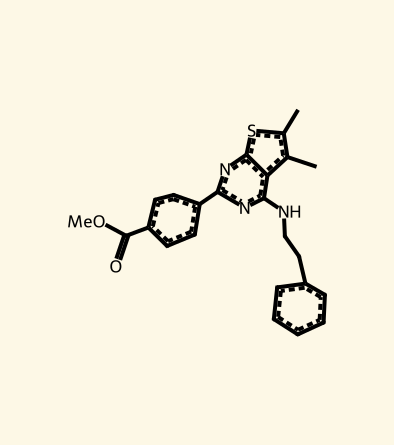 COC(=O)c1ccc(-c2nc(NCCc3ccccc3)c3c(C)c(C)sc3n2)cc1